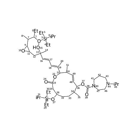 CCC(O[Si](CC)(CC)C(C)C)C(C)C1OC1CC(C)(O)/C=C/C=C(\C)C1OC(=O)CC(O[Si](CC)(CC)C(C)C)CCC(C)C(OC(=O)N2CCCN(C(C)C)CC2)/C=C/C1C